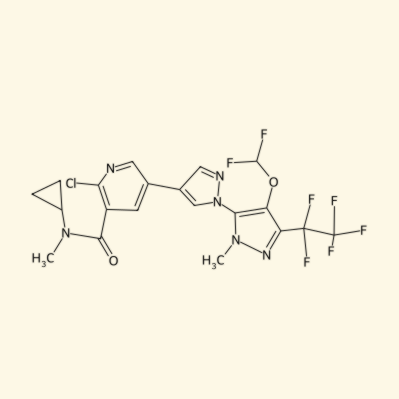 CN(C(=O)c1cc(-c2cnn(-c3c(OC(F)F)c(C(F)(F)C(F)(F)F)nn3C)c2)cnc1Cl)C1CC1